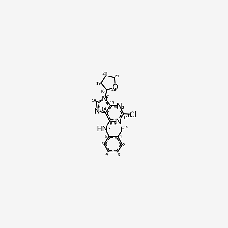 Fc1ccccc1Nc1nc(Cl)nc2c1ncn2C1CCCO1